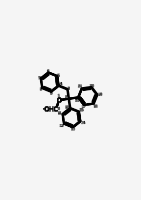 O=[C]OC(Cc1ccccc1)(c1ccccc1)c1ccccc1